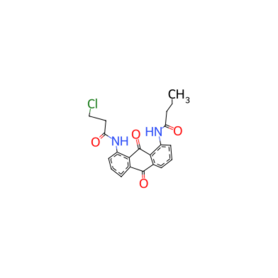 CCCC(=O)Nc1cccc2c1C(=O)c1c(NC(=O)CCCl)cccc1C2=O